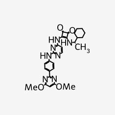 COc1cc(OC)nc(-c2ccc(Nc3nccc(Nc4c(N[C@@H](C)C5CCCCC5)c(=O)c4=O)n3)cc2)n1